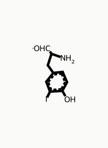 NC([C]=O)Cc1ccc(O)c(I)c1